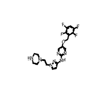 Fc1cc(F)c(F)c(COc2cnc(Nc3ccn(CCN4CCNCC4)n3)nc2)c1F